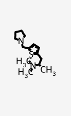 CC(Cc1ccc(CN2CCCC2)s1)N(C)C